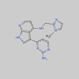 Cn1ccnc1CNc1ccnc2[nH]cc(-c3ccnc(N)n3)c12